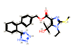 CCn1c(SC)nc(C(=O)OCc2ccc(-c3ccccc3-c3nnn[nH]3)cc2)c1C(C)(C)O